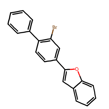 Brc1cc(-c2cc3ccccc3o2)ccc1-c1ccccc1